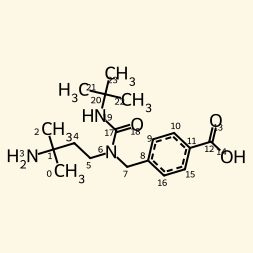 CC(C)(N)CCN(Cc1ccc(C(=O)O)cc1)C(=O)NC(C)(C)C